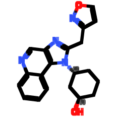 O[C@@H]1CCC[C@@H](n2c(Cc3ccon3)nc3cnc4ccccc4c32)C1